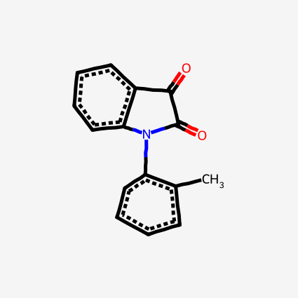 Cc1ccccc1N1C(=O)C(=O)c2ccccc21